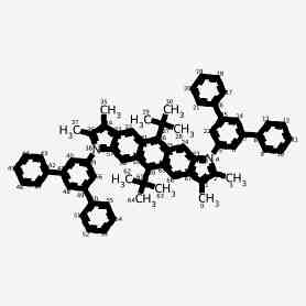 Cc1c(C)n(-c2cc(-c3ccccc3)cc(-c3ccccc3)c2)c2cc3c(C(C)(C)C)c4cc5c(C)c(C)n(-c6cc(-c7ccccc7)cc(-c7ccccc7)c6)c5cc4c(C(C)(C)C)c3cc12